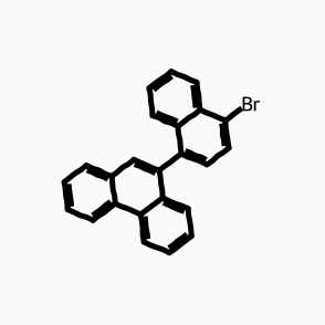 Brc1ccc(-c2cc3ccccc3c3ccccc23)c2ccccc12